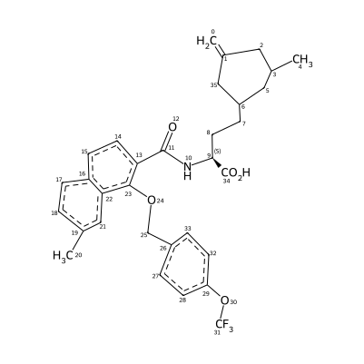 C=C1CC(C)CC(CC[C@H](NC(=O)c2ccc3ccc(C)cc3c2OCc2ccc(OC(F)(F)F)cc2)C(=O)O)C1